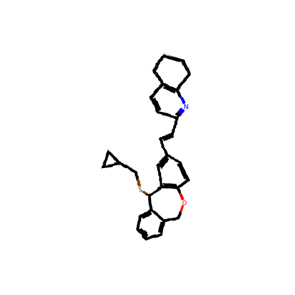 C(=Cc1ccc2c(n1)CCCC2)c1ccc2c(c1)C(SCC1CC1)c1ccccc1CO2